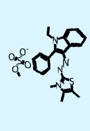 CCn1c(-c2ccccc2)c(N=Nc2sc(C)c(C)[n+]2C)c2ccccc21.COS(=O)(=O)[O-]